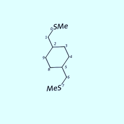 CSCC1CCC(CSC)CC1